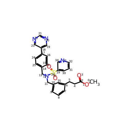 COC(=O)CCc1cccc(CN(Cc2ccc(-c3cncnc3)cc2)S(=O)(=O)c2cccnc2)c1